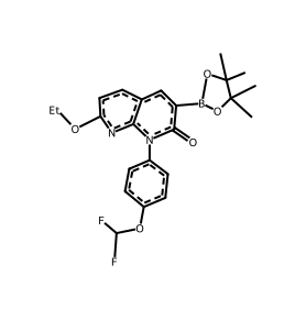 CCOc1ccc2cc(B3OC(C)(C)C(C)(C)O3)c(=O)n(-c3ccc(OC(F)F)cc3)c2n1